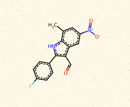 Cc1cc([N+](=O)[O-])cc2c(C=O)c(-c3ccc(F)cc3)[nH]c12